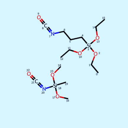 CCO[Si](CCCN=C=O)(OCC)OCC.CO[Si](C)(N=C=O)OC